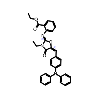 CCOC(=O)c1ccccc1/N=C1\O/C(=C/c2ccc(N(c3ccccc3)c3ccccc3)cc2)C(=O)N1CC